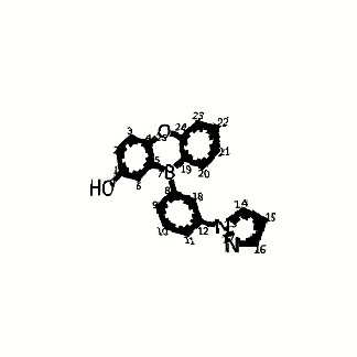 Oc1ccc2c(c1)B(c1cccc(-n3cccn3)c1)c1ccccc1O2